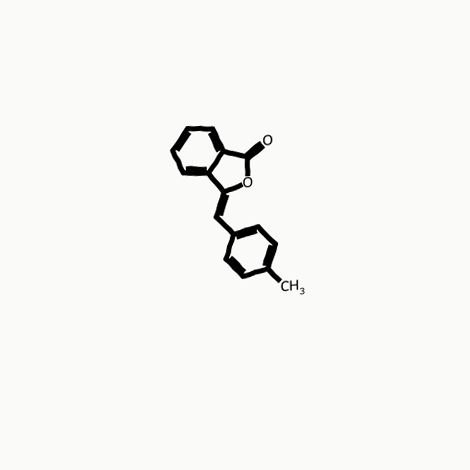 Cc1ccc(C=C2OC(=O)c3ccccc32)cc1